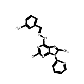 Cc1cccc(C=NNc2nc(Cl)nc3c2nc(C)n3-c2ccccn2)c1